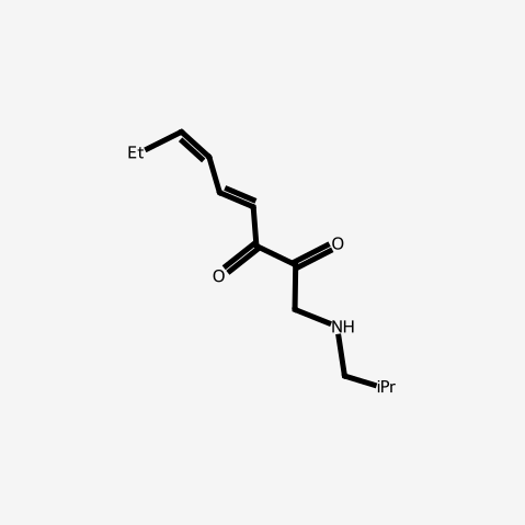 CC/C=C\C=C\C(=O)C(=O)CNCC(C)C